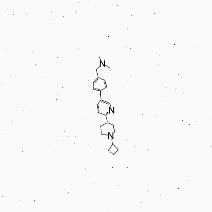 CN(C)Cc1ccc(-c2ccc(C3CCN(C4CCC4)CC3)nc2)cc1